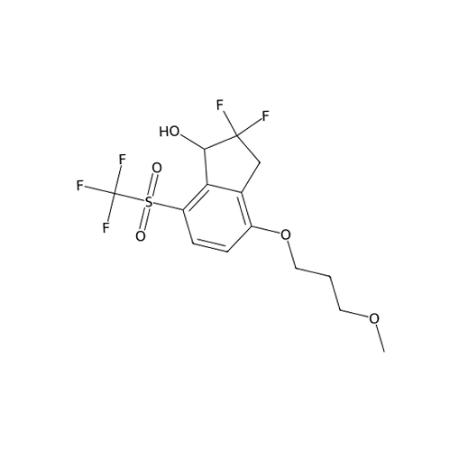 COCCCOc1ccc(S(=O)(=O)C(F)(F)F)c2c1CC(F)(F)C2O